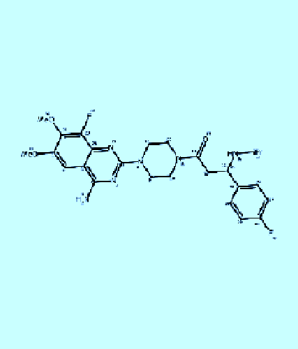 COc1cc2c(N)nc(N3CCN(C(=O)C[C@@H](NC(C)C)c4ccc(F)cc4)CC3)nc2c(F)c1OC